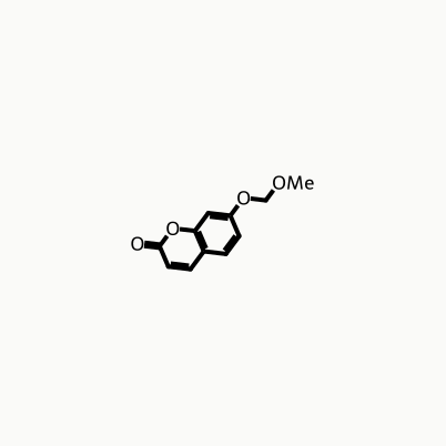 COCOc1ccc2ccc(=O)oc2c1